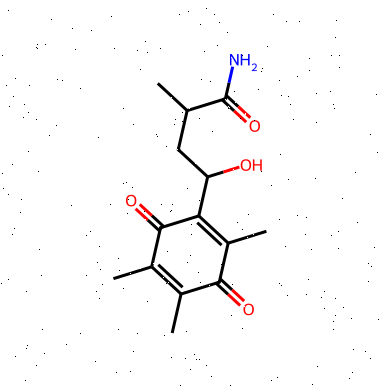 CC1=C(C)C(=O)C(C(O)CC(C)C(N)=O)=C(C)C1=O